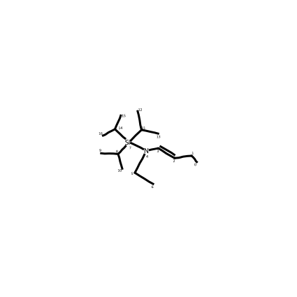 CCC=CN(CC)[Si](C(C)C)(C(C)C)C(C)C